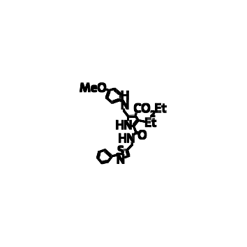 CCOC(=O)c1c(CNc2ccc(OC)cc2)[nH]c(C(=O)NCc2cnc(-c3ccccc3)s2)c1CC